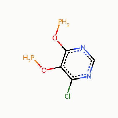 POc1ncnc(Cl)c1OP